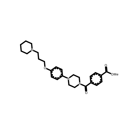 COC(=O)c1ccc(C(=O)N2CCN(c3ccc(OCCCN4CCCCC4)cc3)CC2)cc1